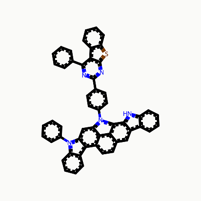 c1ccc(-c2nc(-c3ccc(-n4c5cc6c(c7ccc8cc9c%10ccccc%10[nH]c9c4c8c75)c4ccccc4n6-c4ccccc4)cc3)nc3sc4ccccc4c23)cc1